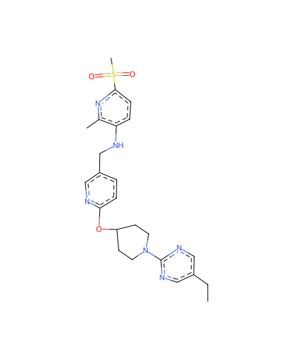 CCc1cnc(N2CCC(Oc3ccc(CNc4ccc(S(C)(=O)=O)nc4C)cn3)CC2)nc1